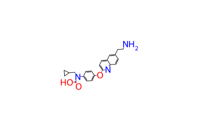 NCCc1ccc2nc(Oc3ccc(N(CC4CC4)C(=O)O)cc3)ccc2c1